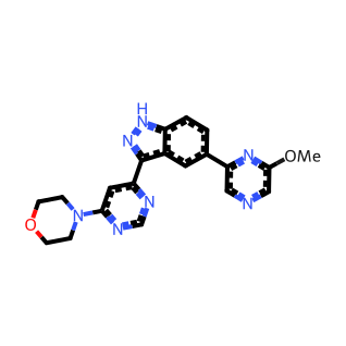 COc1cncc(-c2ccc3[nH]nc(-c4cc(N5CCOCC5)ncn4)c3c2)n1